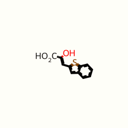 O=C(O)C(O)=Cc1cc2ccccc2s1